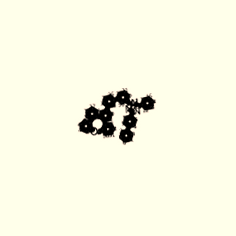 c1ccc(-c2ccc(-c3nc(-c4ccccc4)nc(-c4cccc(-c5cccc(-c6ccc7c(c6)-c6ccccc6-c6ccccc6OCc6ccccc6-7)c5)c4)n3)cc2)cc1